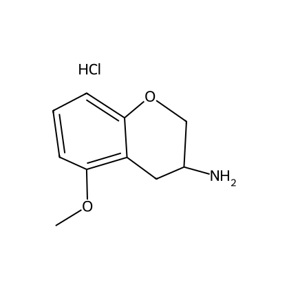 COc1cccc2c1CC(N)CO2.Cl